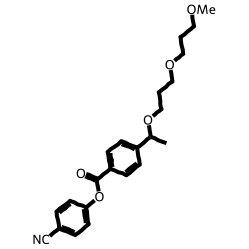 COCCCOCCCOC(C)c1ccc(C(=O)Oc2ccc(C#N)cc2)cc1